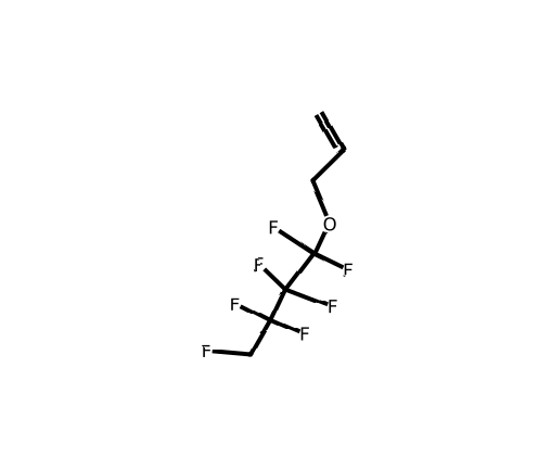 C=CCOC(F)(F)C(F)(F)C(F)(F)CF